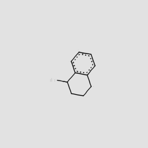 CC(C)C1CCCc2ccccc21